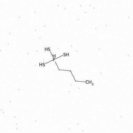 CCCC[PH](S)(S)S